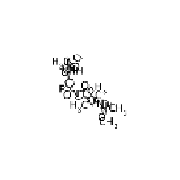 COC[C@H]1CN(c2cc(C)c3c4c(c(=O)oc3c2C)CN(C(=O)c2ccc(C(=O)NS(=O)(=O)N(C)C3CCCC3)cc2F)CC4)CCN1C